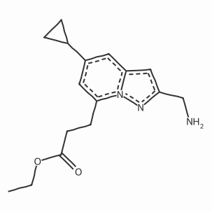 CCOC(=O)CCc1cc(C2CC2)cc2cc(CN)nn12